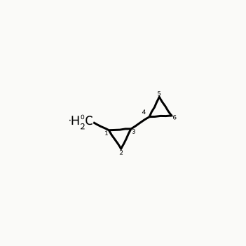 [CH2]C1CC1C1CC1